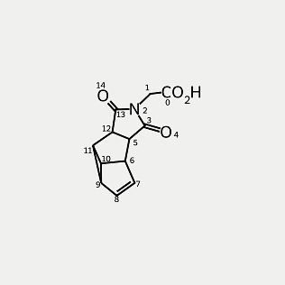 O=C(O)CN1C(=O)C2C3C=CC4C3C4C2C1=O